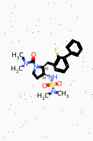 CN(C)C(=O)N1CC[C@H](NS(=O)(=O)N(C)C)[C@@H]1Cc1cccc(-c2ccccc2)c1F